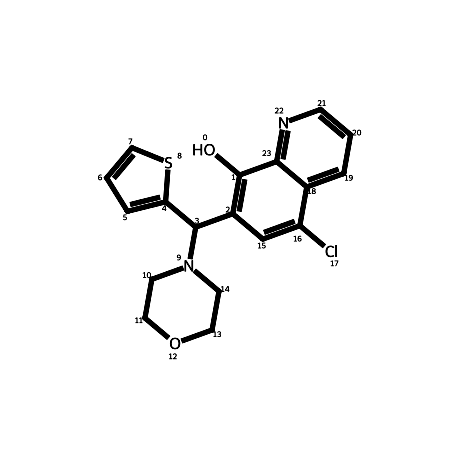 Oc1c(C(c2cccs2)N2CCOCC2)cc(Cl)c2cccnc12